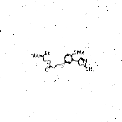 CCCCC(CC)COC(=O)CCSc1ccc(SC)c(-c2cnn(C)c2)c1